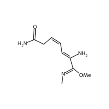 C/N=C(OC)/C(N)=C/C=C\CC(N)=O